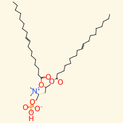 CCCCCCCCC=CCCCCCCCC(=O)OCC(C[C@H](COP(=O)([O-])O)[N+](C)(C)C)OC(=O)CCCCCCCC=CCCCCCCCC